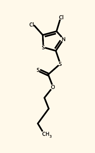 CCCCOC(=S)Sc1nc(Cl)c(Cl)s1